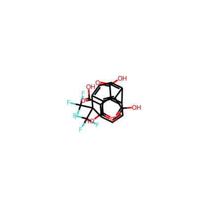 O=C(O)c1c2ccc(c1C(=O)O)C(C(F)(F)F)(C(F)(F)F)c1ccc-2c(C(=O)O)c1C(=O)O